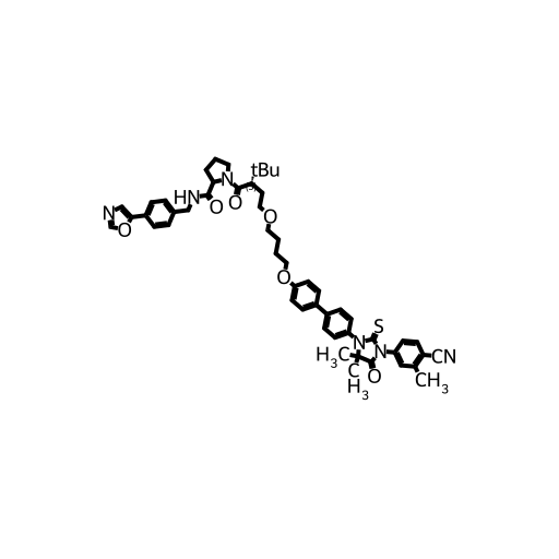 Cc1cc(N2C(=O)C(C)(C)N(c3ccc(-c4ccc(OCCCCOCC[C@H](C(=O)N5CCCC5C(=O)NCc5ccc(-c6cnco6)cc5)C(C)(C)C)cc4)cc3)C2=S)ccc1C#N